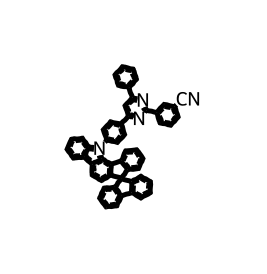 N#Cc1cccc(-c2nc(-c3ccccc3)cc(-c3ccc(-n4c5ccccc5c5ccc6c(c54)-c4ccccc4C64c5ccccc5-c5ccccc54)cc3)n2)c1